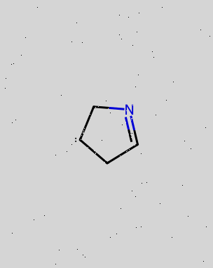 [C]1CC=NC1